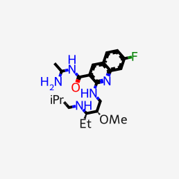 CC[C@@H](NCC(C)C)[C@H](CNc1nc2cc(F)ccc2cc1C(=O)NC(C)N)OC